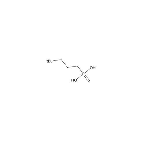 C=P(O)(O)CCCC(C)(C)C